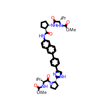 COC(=O)N[C@H](C(=O)N[C@H]1CCC[C@@H]1C(=O)Nc1ccc2cc(-c3ccc(-c4c[nH]c([C@@H]5CCCN5C(=O)[C@@H](NC(=O)OC)C(C)C)n4)cc3)ccc2c1)C(C)C